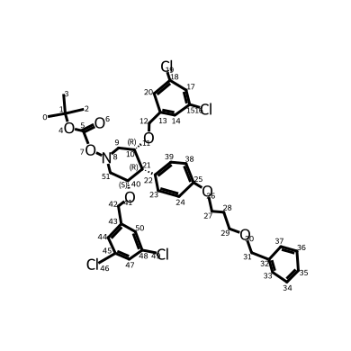 CC(C)(C)OC(=O)ON1C[C@H](OCc2cc(Cl)cc(Cl)c2)[C@H](c2ccc(OCCCOCc3ccccc3)cc2)[C@H](OCc2cc(Cl)cc(Cl)c2)C1